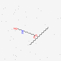 CCCCCCCCCCC(CCCCCCCC)OC(=O)CCCCCCCNCCCO